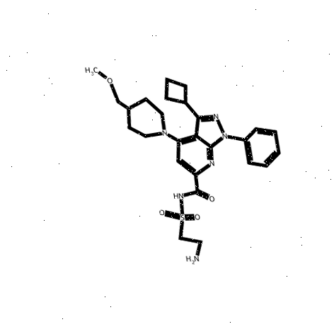 COCC1CCN(c2cc(C(=O)NS(=O)(=O)CCN)nc3c2c(C2CCC2)nn3-c2ccccc2)CC1